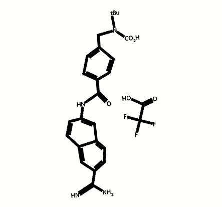 CC(C)(C)N(Cc1ccc(C(=O)Nc2ccc3cc(C(=N)N)ccc3c2)cc1)C(=O)O.O=C(O)C(F)(F)F